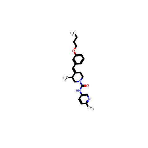 Cc1ccc(NC(=O)N2CC/C(=C\c3cccc(OCCCC(F)(F)F)c3)C(C)C2)cn1